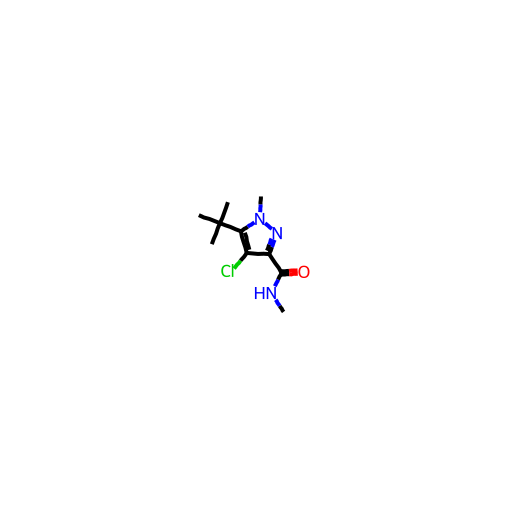 CNC(=O)c1nn(C)c(C(C)(C)C)c1Cl